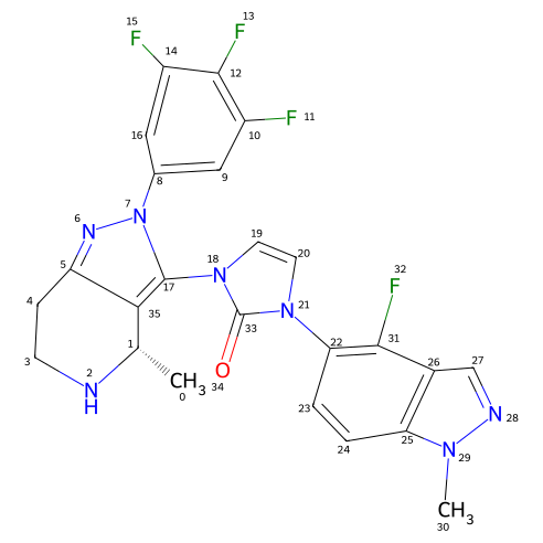 C[C@@H]1NCCc2nn(-c3cc(F)c(F)c(F)c3)c(-n3ccn(-c4ccc5c(cnn5C)c4F)c3=O)c21